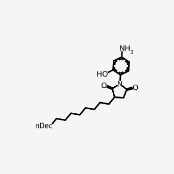 CCCCCCCCCCCCCCCCCCC1CC(=O)N(c2ccc(N)cc2O)C1=O